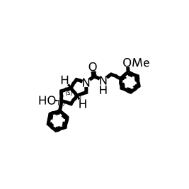 COc1ccccc1CNC(=O)N1C[C@@H]2C[C@@](O)(c3ccccc3)C[C@@H]2C1